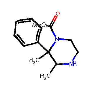 COC(=O)N1CCNC(C)C1(C)c1ccccc1